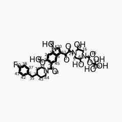 O=C(C(=O)N1CC(O)N(C(=O)OC(O)(O)O)CC1O)c1cn(O)c2cc(OO)c(C(=O)N3CCC(Cc4ccc(F)cc4)CC3)cc12